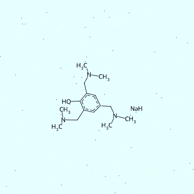 CN(C)Cc1cc(CN(C)C)c(O)c(CN(C)C)c1.[NaH]